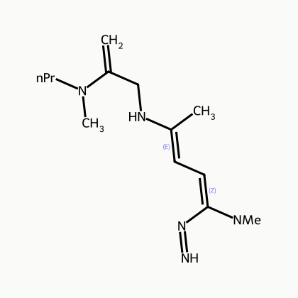 C=C(CN/C(C)=C/C=C(\N=N)NC)N(C)CCC